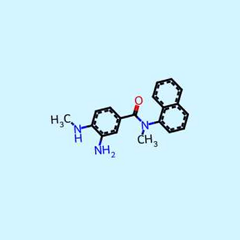 CNc1ccc(C(=O)N(C)c2cccc3ccccc23)cc1N